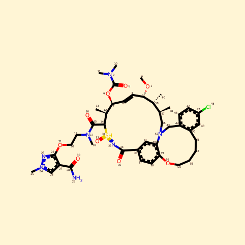 CO[C@H]1/C=C/[C@H](OC(=O)N(C)C)[C@H](C)C(C(=O)N(C)CCOc2nn(C)cc2C(N)=O)/[SH](=O)=N\C(=O)c2ccc3c(c2)N(Cc2ccc(Cl)cc2CCCCO3)C[C@H](C)[C@H]1C